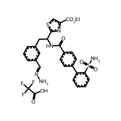 CCOC(=O)c1csc(C(Cc2cccc(C=NN)c2)NC(=O)c2ccc(-c3ccccc3S(N)(=O)=O)cc2)n1.O=C(O)C(F)(F)F